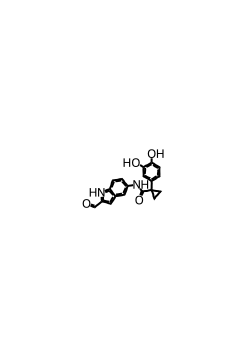 O=Cc1cc2cc(NC(=O)C3(c4ccc(O)c(O)c4)CC3)ccc2[nH]1